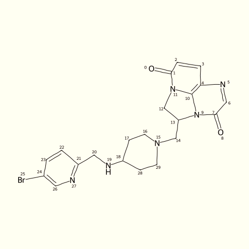 O=c1ccc2ncc(=O)n3c2n1CC3CN1CCC(NCc2ccc(Br)cn2)CC1